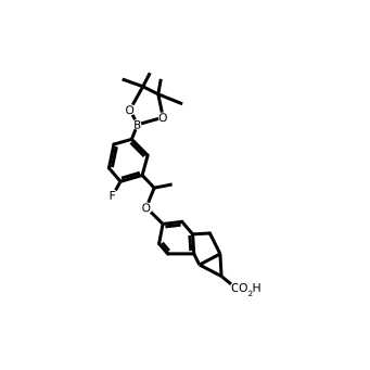 CC(Oc1ccc2c(c1)CC1C(C(=O)O)C21)c1cc(B2OC(C)(C)C(C)(C)O2)ccc1F